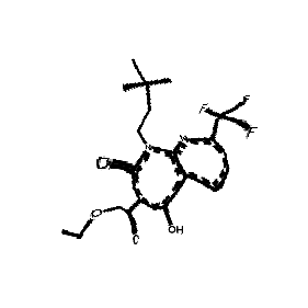 CCOC(=O)c1c(O)c2ccc(C(F)(F)F)nc2n(CCC(C)(C)C)c1=O